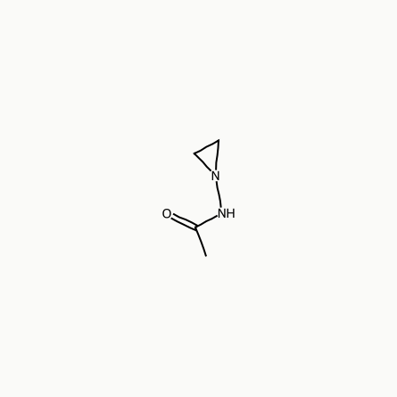 CC(=O)NN1CC1